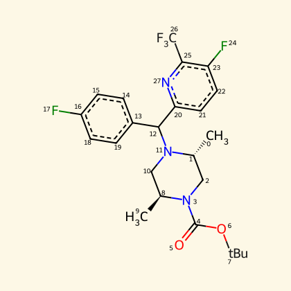 C[C@@H]1CN(C(=O)OC(C)(C)C)[C@@H](C)CN1C(c1ccc(F)cc1)c1ccc(F)c(C(F)(F)F)n1